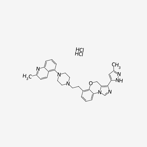 Cc1cc(-c2ncn3c2COc2c(CCN4CCN(c5cccc6nc(C)ccc56)CC4)cccc2-3)[nH]n1.Cl.Cl